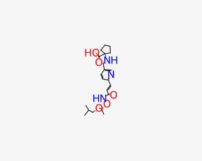 CC(C)COC(C)ONC(=O)/C=C/c1ccc(CNC2(C(=O)O)CCCC2)cn1